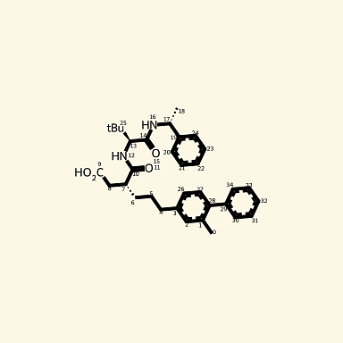 Cc1cc(CCC[C@H](CC(=O)O)C(=O)N[C@H](C(=O)N[C@H](C)c2ccccc2)C(C)(C)C)ccc1-c1ccccc1